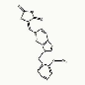 COc1ccccc1Cn1cnc2ccc(C=C3SC(=O)NC3=O)cc21